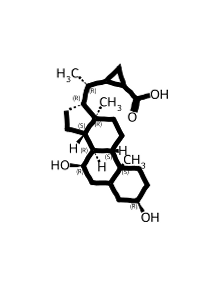 C[C@H](C1CC1C(=O)O)[C@H]1CC[C@H]2[C@@H]3[C@H](O)CC4C[C@H](O)CC[C@]4(C)[C@H]3CC[C@]12C